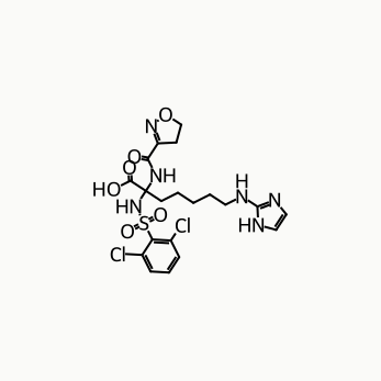 O=C(NC(CCCCCNc1ncc[nH]1)(NS(=O)(=O)c1c(Cl)cccc1Cl)C(=O)O)C1=NOCC1